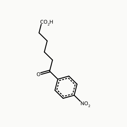 O=C(O)CCCCC(=O)c1ccc([N+](=O)[O-])cc1